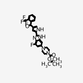 CC(C)(C)OC(=O)N1CCN(c2cc(F)c3nc(-c4cc(C(=O)c5ccccc5C(F)(F)F)c[nH]4)[nH]c3c2)CC1